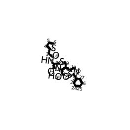 O=C(Cc1cccs1)NC1C(=O)N2C(C(=O)O)=C(c3cnc(-c4ccccc4)s3)CSC12